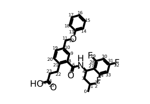 CC(C)CC(NC(=O)c1cc(COc2ccccc2)ccc1CCC(=O)O)c1c(F)cc(F)cc1F